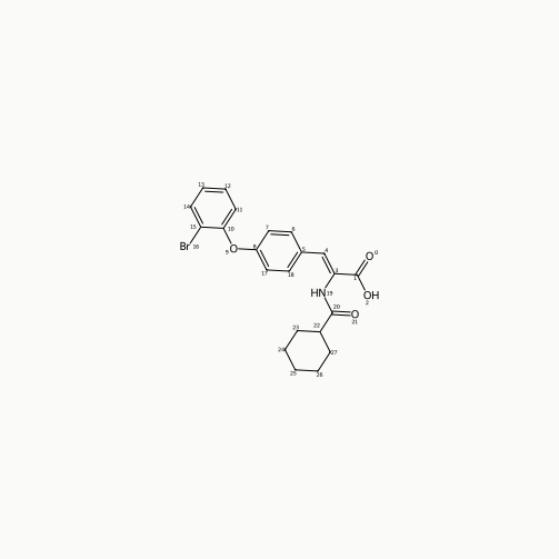 O=C(O)C(=Cc1ccc(Oc2ccccc2Br)cc1)NC(=O)C1CCCCC1